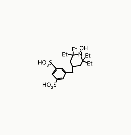 CCC1(CC)CC(Cc2cc(S(=O)(=O)O)cc(S(=O)(=O)O)c2)CC(CC)(CC)N1O